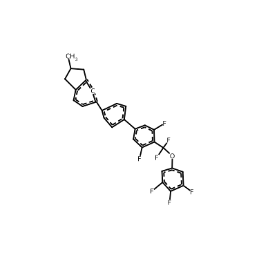 CC1Cc2ccc(-c3ccc(-c4cc(F)c(C(F)(F)Oc5cc(F)c(F)c(F)c5)c(F)c4)cc3)cc2C1